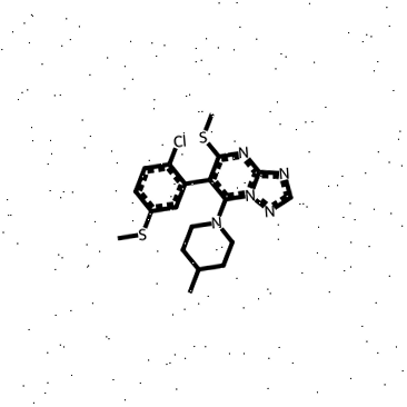 CSc1ccc(Cl)c(-c2c(SC)nc3ncnn3c2N2CCC(C)CC2)c1